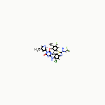 Cc1cncc(-n2c(=O)nc(Nc3cc4sc(NCC(F)F)nc4cc3Cl)n(Cc3ccc(F)c(C#N)c3)c2=O)c1